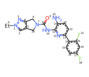 CCn1cc2c(n1)CN(C(=O)Nc1nc(-c3ccc(F)cc3F)ccc1N)C2